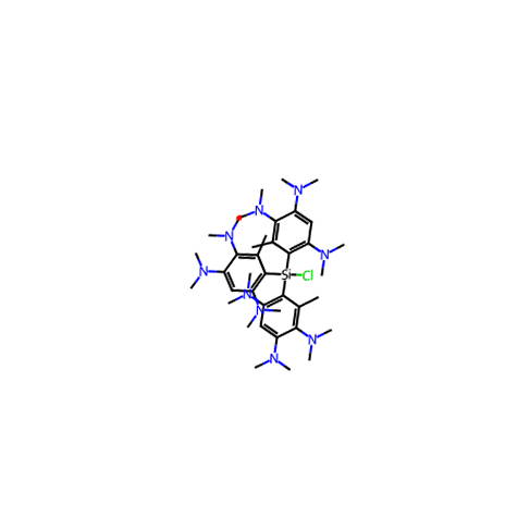 Cc1c(N(C)C)c(N(C)C)cc(N(C)C)c1[Si](Cl)(c1c(N(C)C)cc(N(C)C)c(N(C)C)c1C)c1c(N(C)C)cc(N(C)C)c(N(C)C)c1C